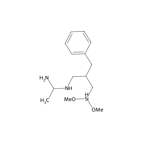 CO[SiH](CC(CNC(C)N)Cc1ccccc1)OC